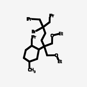 CCOCC(CCC(Br)(CC(C)C)CC(C)C)(COCC)C1CC(C)CCC1C(C)C